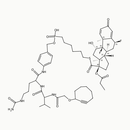 CCC(=O)O[C@]1(C(=O)SCCCCCCP(=O)(O)OCc2ccc(NC(=O)C(CCCNC(N)=O)NC(=O)C(NC(=O)COC3C#CCCCCC3)C(C)C)cc2)CC[C@H]2[C@@H]3C[C@H](F)C4=CC(=O)C=C[C@]4(C)[C@@]3(F)[C@@H](O)C[C@@]21C